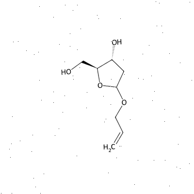 C=CCOC1C[C@@H](O)[C@H](CO)O1